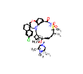 CO[C@]1(CN2C[C@@H](C)N(C)[C@@H](C)C2)/C=C/C[C@H](C)[C@@H](C)S(=O)(=O)NC(=O)c2ccc3c(c2)N(CC2CC[C@H]21)C[C@@]1(CCCc2cc(Cl)ccc21)CO3